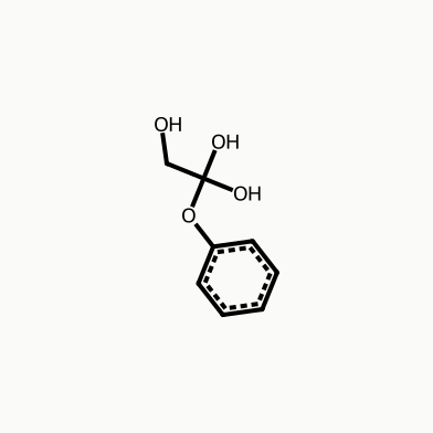 OCC(O)(O)Oc1ccccc1